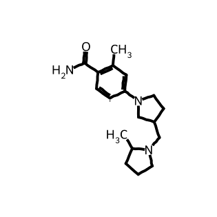 Cc1cc(N2CCC(CN3CCCC3C)C2)[c]cc1C(N)=O